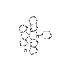 Clc1ccc2c(c1)C1(c3ccccc3-2)c2cc3ccccc3cc2N(c2ccccc2)c2cc3ccccc3cc21